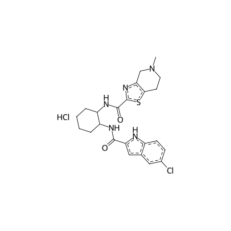 CN1CCc2sc(C(=O)NC3CCCCC3NC(=O)c3cc4cc(Cl)ccc4[nH]3)nc2C1.Cl